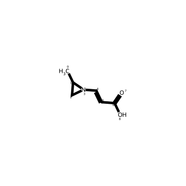 CC1CN1C=CC(=O)O